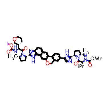 COC(=O)N[C@H](C(=O)N1[C@@H](C)CC[C@H]1c1ncc(-c2ccc3c(c2)COc2cc4c(ccc5nc([C@@H]6CC[C@H](C)N6C(=O)[C@@H](NC(=O)OI)[C@H]6CCCOC6)[nH]c54)cc2-3)[nH]1)C(C)C